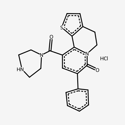 Cl.O=C(c1cc(-c2ccccc2)c(=O)n2c1-c1sccc1CC2)N1CCNCC1